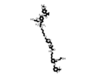 CC(C)(COCCCCCOCc1ccc(Cn2cc(C(=O)NCCCCc3ccc(OCc4ccc(F)c(C(F)(F)F)c4)c(CNCCO)c3)cn2)nn1)c1cc2cc(NC(=O)C3(c4ccc5c(c4)OC(F)(F)O5)CC3)c(F)cc2n1C[C@H](O)CO